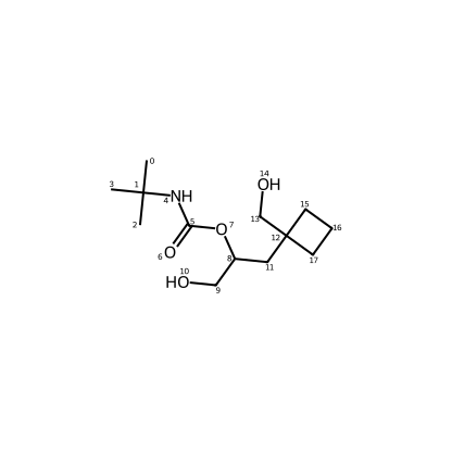 CC(C)(C)NC(=O)OC(CO)CC1(CO)CCC1